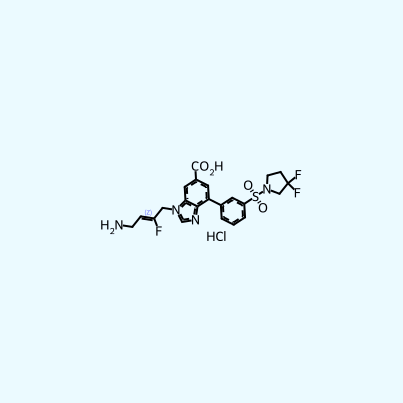 Cl.NC/C=C(\F)Cn1cnc2c(-c3cccc(S(=O)(=O)N4CCC(F)(F)C4)c3)cc(C(=O)O)cc21